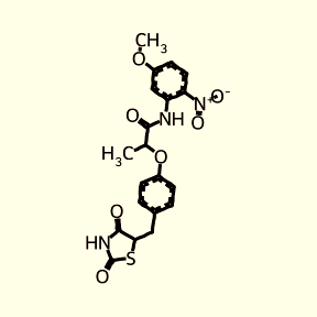 COc1ccc([N+](=O)[O-])c(NC(=O)C(C)Oc2ccc(CC3SC(=O)NC3=O)cc2)c1